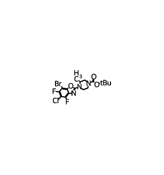 C[C@H]1CN(C(=O)OC(C)(C)C)CCN1c1nc2c(F)c(Cl)c(F)c(Br)c2o1